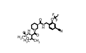 CC(C)[C@@H](NS(C)(=O)=O)C(=O)N1CCC[C@@H](C(=O)NCc2ccc(C#N)cc2OC(F)(F)F)C1